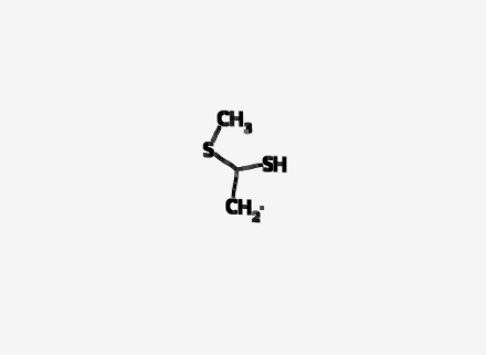 [CH2]C(S)SC